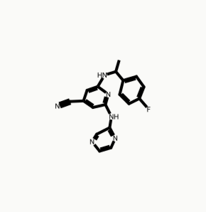 CC(Nc1cc(C#N)cc(Nc2cnccn2)n1)c1ccc(F)cc1